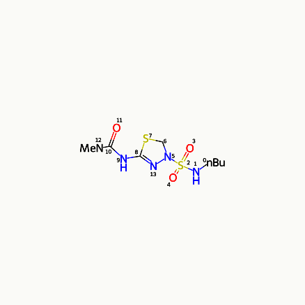 CCCCNS(=O)(=O)N1CSC(NC(=O)NC)=N1